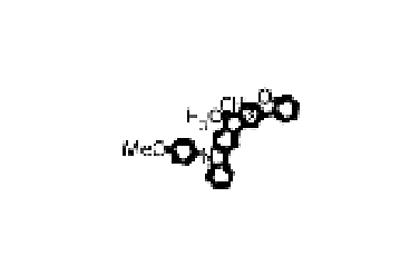 COc1ccc(-n2c3ccccc3c3cc4c(cc32)C(C)(C)c2cc3oc5ccccc5c3cc2-4)cc1